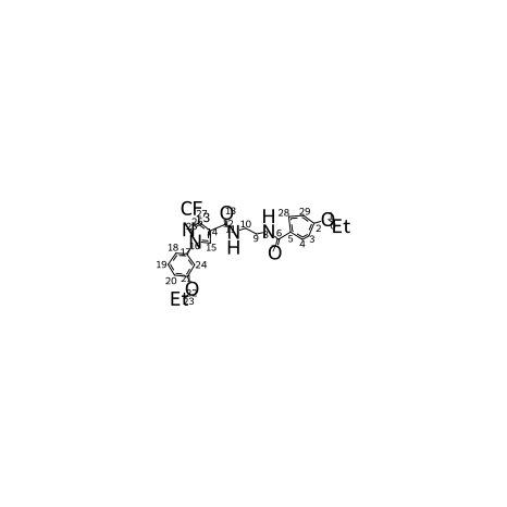 CCOc1ccc(C(=O)NCCNC(=O)c2cn(-c3cccc(OCC)c3)nc2C(F)(F)F)cc1